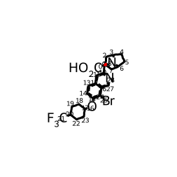 O=C(O)C1CC2CCC(C1)N2Cc1cc2ccc(OC3CCC(C(F)(F)F)CC3)c(Br)c2cn1